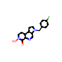 O=c1c2ncc3c(ccn3Cc3ccc(F)cc3)c2ccn1O